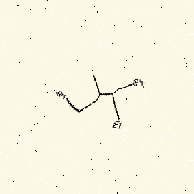 CCC([C](C)CC(C)C)C(C)C